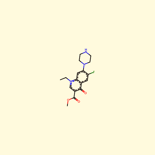 CCn1cc(C(=O)OC)c(=O)c2cc(F)c(N3CCNCC3)cc21